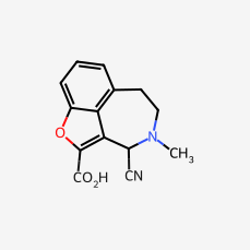 CN1CCc2cccc3oc(C(=O)O)c(c23)C1C#N